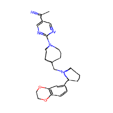 CC(=N)c1cnc(N2CCC(CN3CCCC3c3ccc4c(c3)OCCO4)CC2)nc1